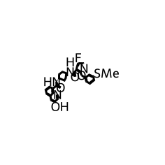 CSc1cccc(Oc2ncc(F)cc2C(=O)N[C@H]2CC[C@@H](NC(=O)c3cccc4cc(O)cnc34)CC2)c1